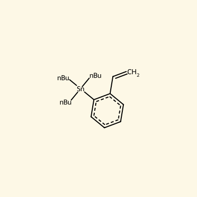 C=Cc1cccc[c]1[Sn]([CH2]CCC)([CH2]CCC)[CH2]CCC